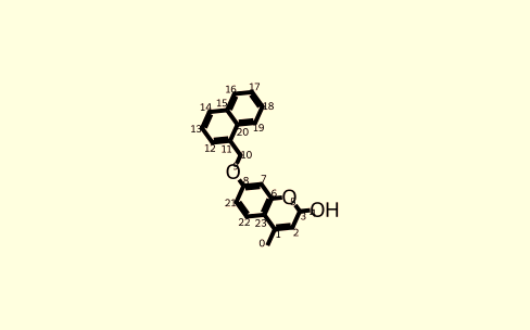 CC1=CC(O)Oc2cc(OCc3cccc4ccccc34)ccc21